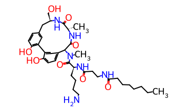 CCCCCCCC(=O)NCCC(=O)N[C@@H](CCCCN)C(=O)N(C)[C@@H]1C(=O)N[C@@H](C)C(=O)N[C@H](CO)Cc2ccc(O)c(c2)-c2cc1ccc2O